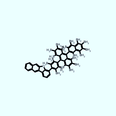 Bc1c(B)c(-c2c3c(B)c(B)c(B)c(B)c3c(-c3c(B)c(B)c4c(B)c(B)c(B)c(B)c4c3B)c3c(B)c(B)c(B)c(B)c23)c(B)c(B)c1-c1cccc2c1oc1cc3ccccc3cc12